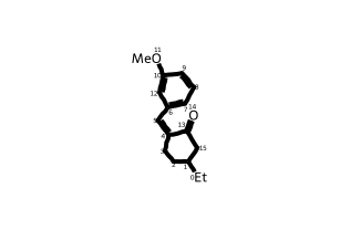 CCC1CC/C(=C/c2cccc(OC)c2)C(=O)C1